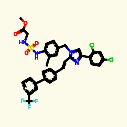 COC(=O)CNS(=O)(=O)Nc1ccc(Cn2cc(-c3ccc(Cl)cc3Cl)nc2/C=C/c2ccc(-c3cccc(C(F)(F)F)c3)cc2)cc1C